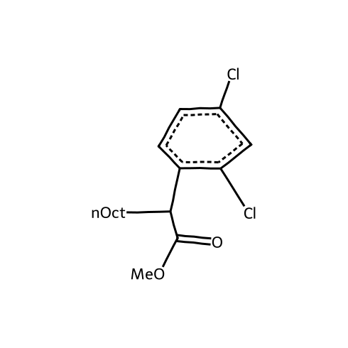 CCCCCCCCC(C(=O)OC)c1ccc(Cl)cc1Cl